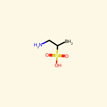 BC(CN)S(=O)(=O)O